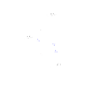 CCC(C)(c1nnc(NC(=O)c2c(OC)cccc2OC)s1)C(C)C